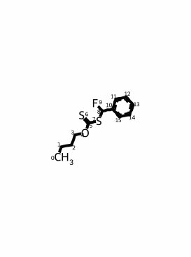 CCCCOC(=S)SC(F)c1ccccc1